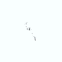 CS(=O)(=O)c1ccc(COc2ccc(-c3cn(C(=O)NCC4CCN(c5ccccc5)C4)cn3)cc2)cn1